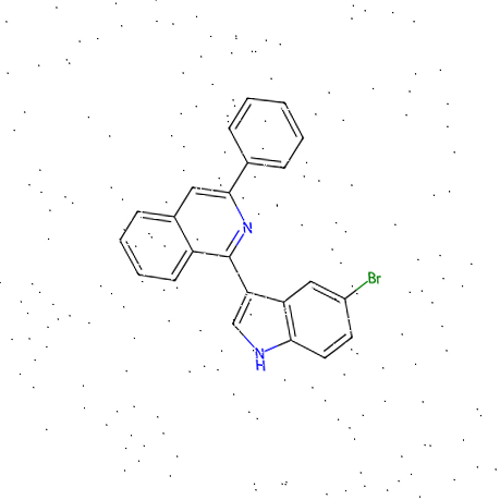 Brc1ccc2[nH]cc(-c3nc(-c4ccccc4)cc4ccccc34)c2c1